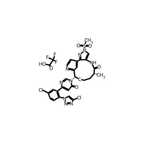 C[C@@H]1CCC[C@H](n2cnc(-c3cc(Cl)ccc3-n3cc(Cl)nn3)cc2=O)c2cc(ccn2)-c2nn(S(C)(=O)=O)cc2NC1=O.O=C(O)C(F)(F)F